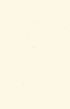 Cc1cc(N)cc2ncnc(Nc3ccc(F)cc3OC3CCNC3)c12